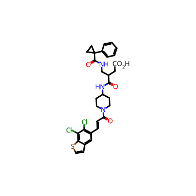 O=C(O)CC(CNC(=O)C1(c2ccccc2)CC1)C(=O)NC1CCN(C(=O)/C=C/c2cc3ccsc3c(Cl)c2Cl)CC1